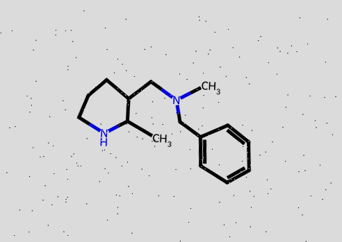 CC1NCCCC1CN(C)Cc1ccccc1